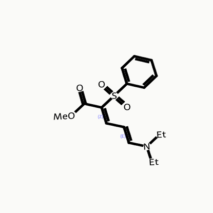 CCN(/C=C/C=C(/C(=O)OC)S(=O)(=O)c1ccccc1)CC